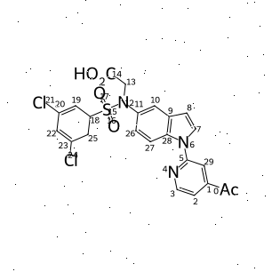 CC(=O)c1ccnc(-n2ccc3cc(N(CC(=O)O)S(=O)(=O)C4C=C(Cl)C=C(Cl)C4)ccc32)c1